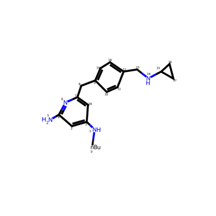 CCCCNc1cc(N)nc(Cc2ccc(CNC3CC3)cc2)c1